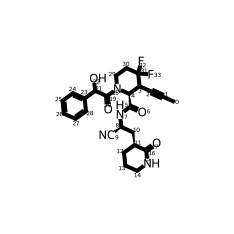 CC#CC1[C@@H](C(=O)N[C@H](C#N)C[C@@H]2CCCNC2=O)N(C(=O)C(O)c2ccccc2)CCC1(F)F